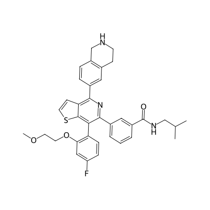 COCCOc1cc(F)ccc1-c1c(-c2cccc(C(=O)NCC(C)C)c2)nc(-c2ccc3c(c2)CCNC3)c2ccsc12